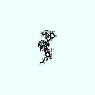 C=CCOc1cc2cc(-c3nn(C4Cc5ccccc5N(C(=O)C=C)C4)c4ncnc(N)c34)[nH]c2cc1F